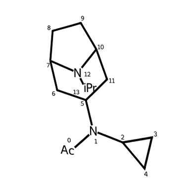 CC(=O)N(C1CC1)C1CC2CCC(C1)N2C(C)C